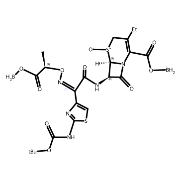 BOC(=O)C1=C(CC)C[S+]([O-])[C@@H]2[C@H](NC(=O)/C(=N\O[C@H](C)C(=O)OB)c3csc(NC(=O)OC(C)(C)C)n3)C(=O)N12